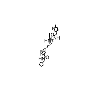 Cc1ccc(CC(=O)NC2=CN(CCCCn3cc(C(=O)NCC4CCCC4)nn3)NN2)cn1